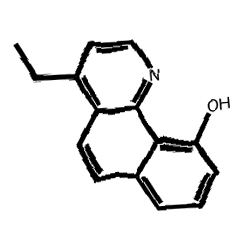 CCc1ccnc2c1ccc1cccc(O)c12